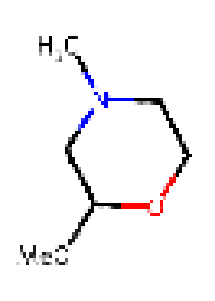 COC1CN(C)C[CH]O1